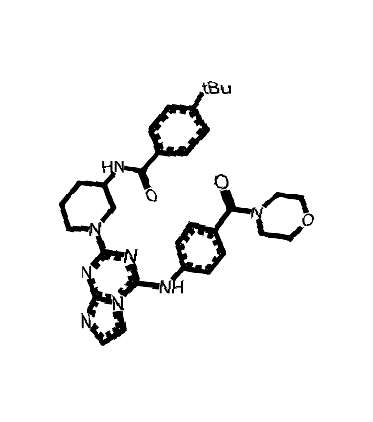 CC(C)(C)c1ccc(C(=O)NC2CCCN(c3nc(Nc4ccc(C(=O)N5CCOCC5)cc4)n4ccnc4n3)C2)cc1